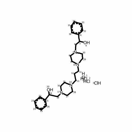 Cl.Cl.Cl.Cl.OC(CN1CCN(CCCN2CCN(CC(O)c3ccccc3)CC2)CC1)c1ccccc1